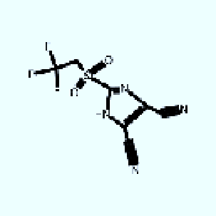 N#Cc1nc(S(=O)(=O)CC(F)(F)F)[nH]c1C#N